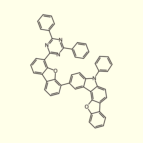 c1ccc(-c2nc(-c3ccccc3)nc(-c3cccc4c3oc3c(-c5ccc6c(c5)c5c7oc8ccccc8c7ccc5n6-c5ccccc5)cccc34)n2)cc1